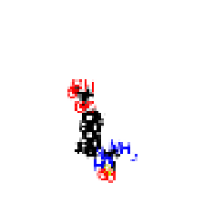 C=C(C)[C@@H]1CC[C@]2(NC[C@@H]([C@H](C)N)N3CCS(=O)(=O)CC3)CC[C@]3(C)[C@H](CC[C@@H]4[C@@]5(C)CC[C@H](OC(=O)[C@@H]6[C@H](C(=O)O)C6(C)C)C(C)(C)[C@@H]5CC[C@]43C)[C@@H]12